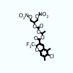 Cc1cc2c(c(C)c1Cl)C=C(C(=O)OC(C)OC(=O)OC(CO[N+](=O)[O-])CO[N+](=O)[O-])[C@@H](C(F)(F)F)O2